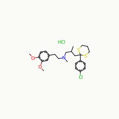 COc1ccc(CCN(C)CC(C)CC2(c3ccc(Cl)cc3)SCCCS2)cc1OC.Cl